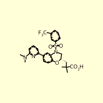 CN(C)c1cccc(-c2ccc3c(c2)N(S(=O)(=O)c2cccc(C(F)(F)F)c2)C[C@H](CC(C)(C)C(=O)O)O3)n1